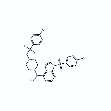 Cc1ccc(S(=O)(=O)n2ccc3c(N(C)C4CCN(CC(F)(F)c5ccc(C)cn5)CC4)ncnc32)cc1